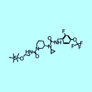 CC(C)(C)[Si](C)(C)OCCNC(=O)N1CCC[C@@H](N(C(=O)NCc2ccc(OC(F)(F)F)cc2F)C2CC2)C1